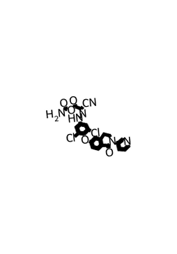 N#CC(=NNc1cc(Cl)c(Oc2ccc3c(c2)CCN(c2cccnc2)C3=O)c(Cl)c1)C(=O)OC(N)=O